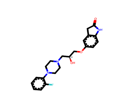 O=C1Cc2cc(OC[C@@H](O)CN3CCN(c4ccccc4F)CC3)ccc2N1